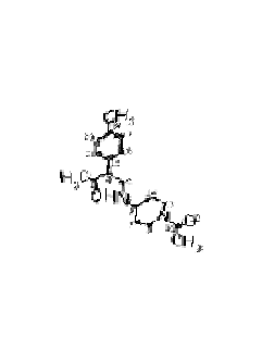 CC(=O)[C@H](CNC1CCN(C(C)=O)CC1)c1ccc(C)cc1